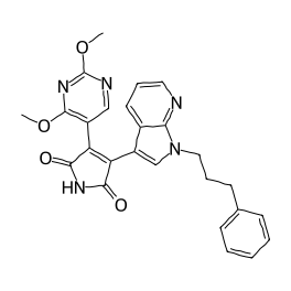 COc1ncc(C2=C(c3cn(CCCc4ccccc4)c4ncccc34)C(=O)NC2=O)c(OC)n1